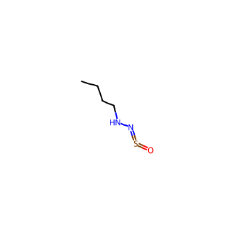 CCCCNN=S=O